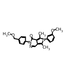 COCc1ccc(-n2ncc3c(C)n(-c4cccc(OC)c4)c(C)c3c2=O)cc1